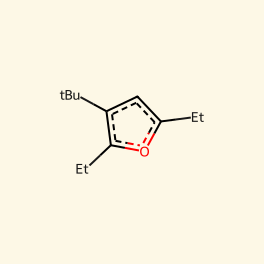 CCc1cc(C(C)(C)C)c(CC)o1